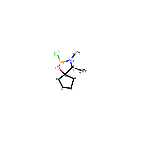 CC(C)[C@@H]1N(C(C)C)P(Cl)OC12CCCC2